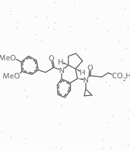 COc1ccc(CC(=O)N2c3ccccc3[C@H](N(C(=O)CCC(=O)O)C3CC3)[C@H]3CCC[C@H]32)cc1OC